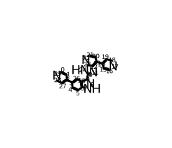 c1cc(-c2ccc3[nH]nc(-c4nc5c(-c6ccncc6)ccnc5[nH]4)c3c2)ccn1